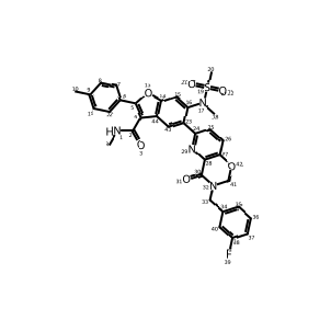 CNC(=O)c1c(-c2ccc(C)cc2)oc2cc(N(C)S(C)(=O)=O)c(-c3ccc4c(n3)C(=O)N(Cc3cccc(F)c3)CO4)cc12